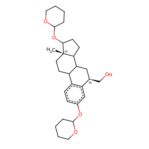 C[C@]12CCC3c4ccc(OC5CCCCO5)cc4[C@H](CO)CC3C1CCC2OC1CCCCO1